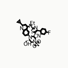 CCN(c1nc(-c2ccc(F)cc2)c(C#N)s1)c1cc(C2CC2)nc2ccc(N3CCN(S(C)(=O)=O)C[C@@H]3CO)cc12